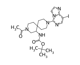 CC(=O)N1CCC2(CCN(c3ncc(I)c4nccn34)CC2)C(NC(=O)OC(C)(C)C)C1